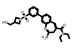 CCN(CC)C(=O)C1=Cc2ccc(-c3cccc(S(=O)(=O)N4CC(CO)C4)c3)cc2N=C(N)C1